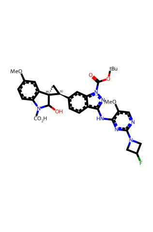 COc1ccc2c(c1)[C@]1(C[C@H]1c1ccc3c(Nc4nc(N5CC(F)C5)ncc4OC)nn(C(=O)OC(C)(C)C)c3c1)C(O)N2C(=O)O